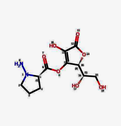 NN1CCC[C@H]1C(=O)OC1=C(O)C(=O)O[C@@H]1[C@@H](O)CO